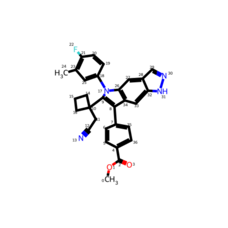 COC(=O)c1ccc(-c2c(C3(CC#N)CCC3)n(-c3ccc(F)c(C)c3)c3cc4cn[nH]c4cc23)cc1